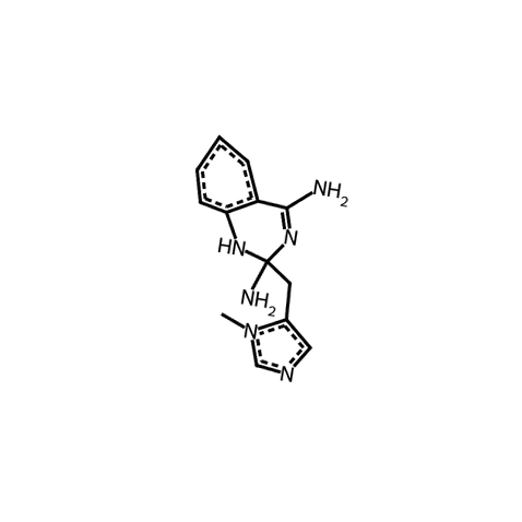 Cn1cncc1CC1(N)N=C(N)c2ccccc2N1